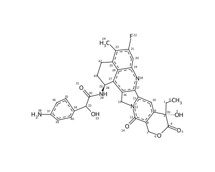 CC[C@@]1(O)C(=O)OCc2c1cc1n(c2=O)Cc2c-1nc1cc(F)c(C)c3c1c2[C@@H](NC(=O)C(O)c1ccc(N)cc1)CC3